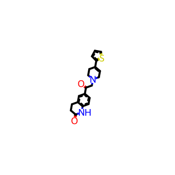 O=C1CCc2cc(C(=O)CN3CC=C(c4cccs4)CC3)ccc2N1